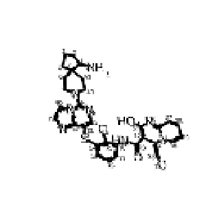 NC1CCCC12CCN(c1ncc(Sc3cccc(NC(=O)C4=C(O)N=C5C=CC=CN5C4=C=O)c3Cl)c3nccn13)CC2